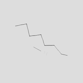 CCCCCCCC.F.O=CO